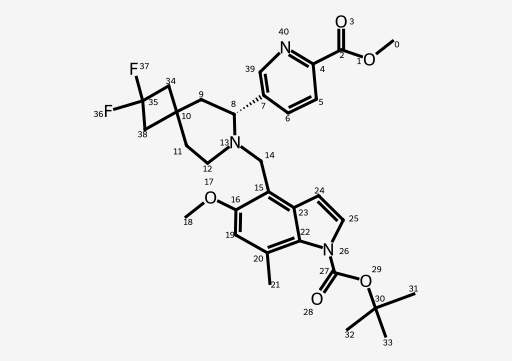 COC(=O)c1ccc([C@H]2CC3(CCN2Cc2c(OC)cc(C)c4c2ccn4C(=O)OC(C)(C)C)CC(F)(F)C3)cn1